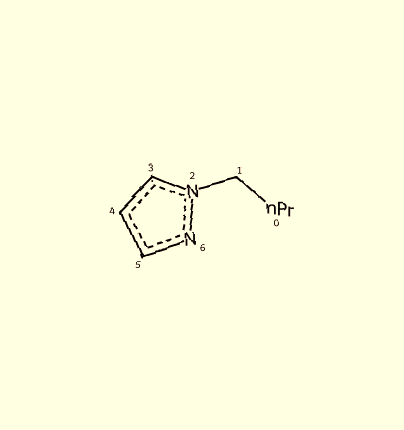 CCCCn1[c]ccn1